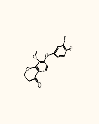 COc1c(Oc2ccc(F)c(F)c2)ccc2c1OCCC2=O